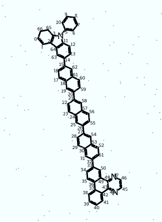 C1=Cc2c(n(-c3ccccc3)c3ccc(-c4ccc5cc(-c6ccc7cc(-c8ccc9cc(-c%10ccc%11c%12ccccc%12c%12nccnc%12c%11c%10)ccc9c8)ccc7c6)ccc5c4)cc23)CC1